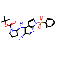 CC(C)(C)OC(=O)N1CCCC1Nc1c(N)cnc2c1ccn2S(=O)(=O)c1ccccc1